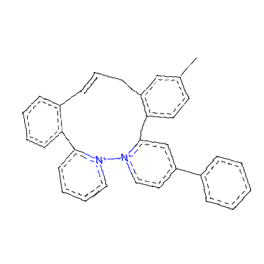 Cc1ccc2c(c1)C/C=C/c1ccccc1-c1cccc[n+]1-[n+]1ccc(-c3ccccc3)cc1-2